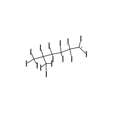 I[C](I)C(I)(I)C(I)(I)C(I)(I)C(I)(C(I)(I)I)C(I)(I)I